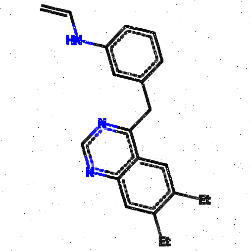 C=CNc1cccc(Cc2ncnc3cc(CC)c(CC)cc23)c1